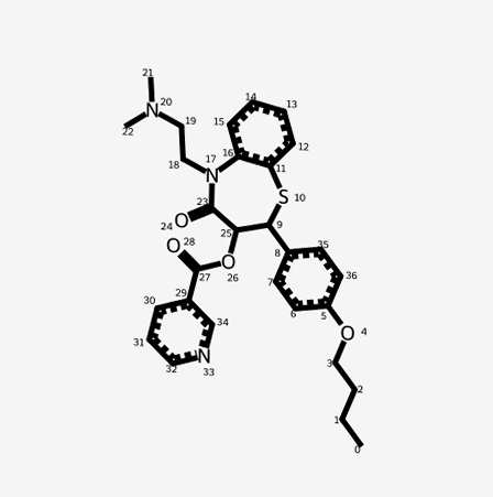 CCCCOc1ccc(C2Sc3ccccc3N(CCN(C)C)C(=O)C2OC(=O)c2cccnc2)cc1